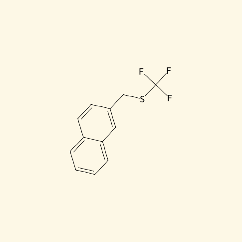 FC(F)(F)SCc1ccc2ccccc2c1